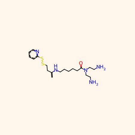 C=C(CCSSc1ccccn1)NCCCCCC(=O)N(CCN)CCN